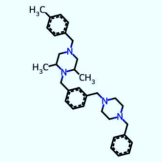 Cc1ccc(CN2CC(C)N(Cc3cccc(CN4CCN(Cc5ccccc5)CC4)c3)C(C)C2)cc1